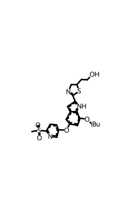 CCC(C)Oc1cc(Oc2ccc(S(C)(=O)=O)nc2)cc2cc(C3=NCC(CCO)S3)[nH]c12